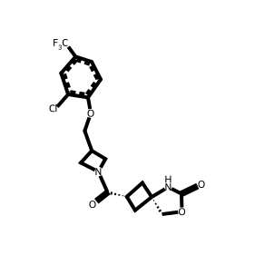 O=C1N[C@]2(CO1)C[C@@H](C(=O)N1CC(COc3ccc(C(F)(F)F)cc3Cl)C1)C2